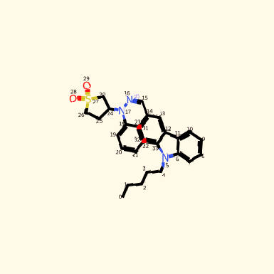 CCCCCn1c2ccccc2c2cc(/C=N\N(c3ccccc3)C3CCS(=O)(=O)C3)ccc21